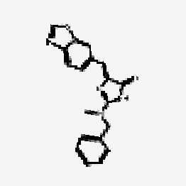 CN(Cc1ccccc1)C1=NC(=Cc2ccc3ncsc3c2)C(=O)N1